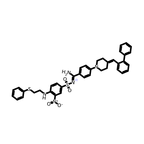 N/C(=N\S(=O)(=O)c1ccc(NCCSc2ccccc2)c([N+](=O)[O-])c1)c1ccc(N2CCC(=Cc3ccccc3-c3ccccc3)CC2)cc1